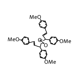 COc1ccc(C=CC(c2ccc(OC)cc2)S(=O)(=O)C(C=Cc2ccc(OC)cc2)c2ccc(OC)cc2)cc1